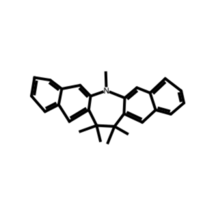 CN1c2cc3ccccc3cc2C(C)(C)C(C)(C)c2cc3ccccc3cc21